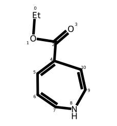 CCOC(=O)C1=CC=CNC=C1